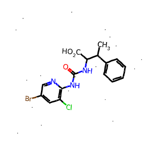 CC(c1ccccc1)C(NC(=O)Nc1ncc(Br)cc1Cl)C(=O)O